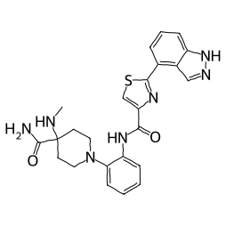 CNC1(C(N)=O)CCN(c2ccccc2NC(=O)c2csc(-c3cccc4[nH]ncc34)n2)CC1